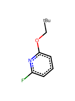 CC(C)(C)COc1cccc(F)n1